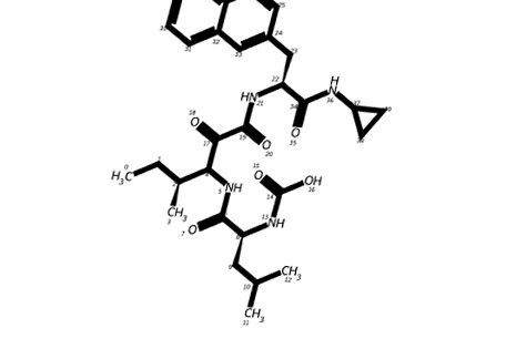 CC[C@H](C)C(NC(=O)[C@H](CC(C)C)NC(=O)O)C(=O)C(=O)N[C@@H](Cc1ccc2ccccc2c1)C(=O)NC1CC1